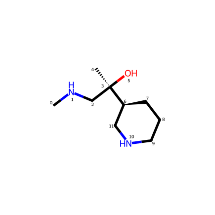 CNC[C@@](C)(O)[C@H]1CCCNC1